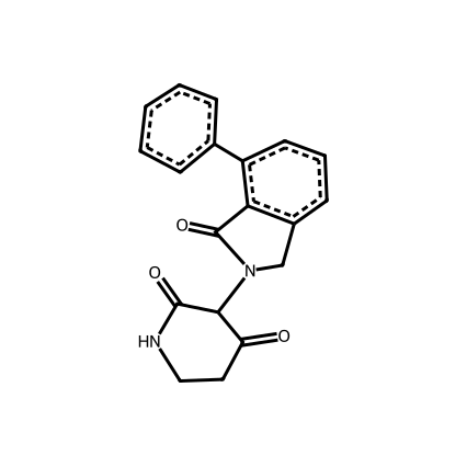 O=C1CCNC(=O)C1N1Cc2cccc(-c3ccccc3)c2C1=O